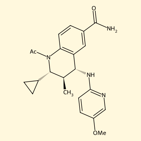 COc1ccc(N[C@H]2c3cc(C(N)=O)ccc3N(C(C)=O)[C@@H](C3CC3)[C@@H]2C)nc1